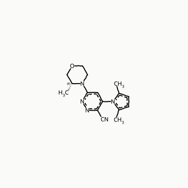 Cc1ccc(C)n1-c1cc(N2CCOC[C@H]2C)nnc1C#N